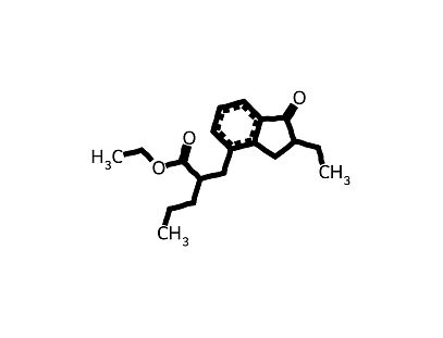 CCCC(Cc1cccc2c1CC(CC)C2=O)C(=O)OCC